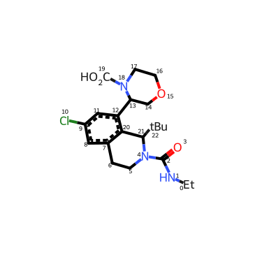 CCNC(=O)N1CCc2cc(Cl)cc(C3COCCN3C(=O)O)c2C1C(C)(C)C